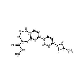 CC1OC(c2ccc(-c3ccc4c(c3)CN(C(=O)OC(C)(C)C)CCO4)cc2)O1